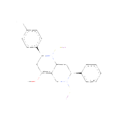 CCOC1=C2CN(SI)[C@H](c3ccccc3)C[C@@H]2N(SI)[C@H](c2ccc(C)cc2)C1